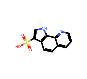 O=S(=O)(O)c1c[nH]c2c1ccc1cccnc12